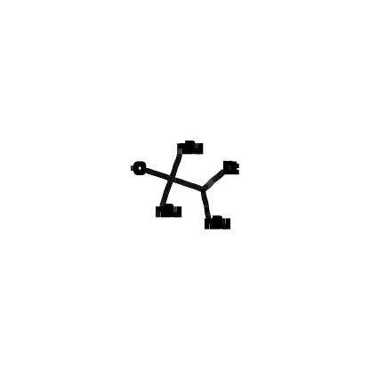 CCCCC(CC)C([O])(CCCC)CCCC